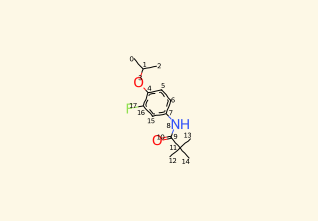 CC(C)Oc1ccc(NC(=O)C(C)(C)C)cc1F